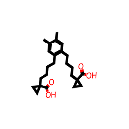 Cc1cc(CCCCC2(C(=O)O)CC2)c(CCCCC2(C(=O)O)CC2)cc1C